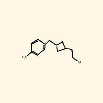 Cc1ccc(CN2CC(CCO)C2)cc1